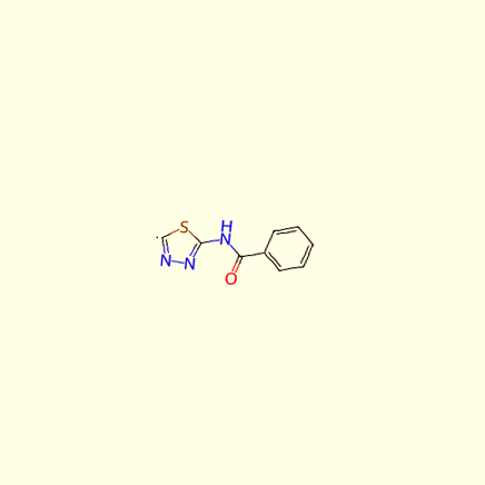 O=C(Nc1nn[c]s1)c1ccccc1